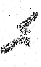 CC(C)(C)OC(=O)N[C@@H](CCn1ccc(NC(F)(F)C(F)(F)C(F)(F)C(F)(F)C(F)(F)C(F)(F)C(F)(F)C(F)(F)F)nc1=O)C(=O)OC(F)(F)C(F)(F)C(F)(F)C(F)(F)C(F)(F)C(F)(F)C(F)(F)C(F)(F)F